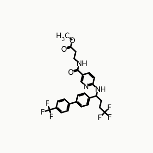 COC(=O)CCNC(=O)c1ccc(NC(CCC(F)(F)F)c2ccc(-c3ccc(C(F)(F)F)cc3)cc2)nc1